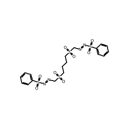 O=S(=O)(CCCCS(=O)(=O)CN=NS(=O)(=O)c1ccccc1)CN=NS(=O)(=O)c1ccccc1